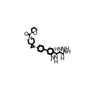 CN1NC(C2NNNN2)c2ccc(-c3ccc([C@@H]4CC45CCN(C(=O)[C@H]4CCCO4)CC5)cc3)cc21